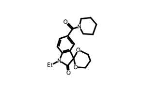 CCN1C(=O)C2(OCCCO2)c2cc(C(=O)N3CCCCC3)ccc21